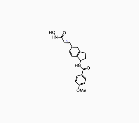 COc1ccc(C(=O)NC2CCc3cc(/C=C/C(=O)NO)ccc32)cc1